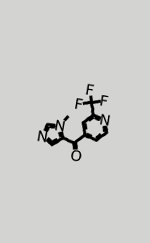 Cn1cncc1C(=O)c1ccnc(C(F)(F)F)c1